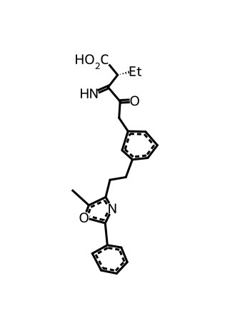 CC[C@H](C(=N)C(=O)Cc1cccc(CCc2nc(-c3ccccc3)oc2C)c1)C(=O)O